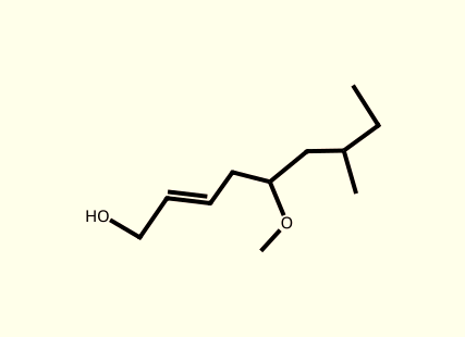 CCC(C)CC(CC=CCO)OC